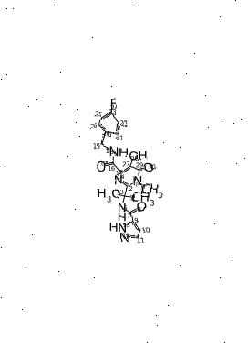 Cn1c(C(C)(C)NC(=O)c2ccn[nH]2)nc(C(=O)NCc2ccc(F)cc2)c(O)c1=O